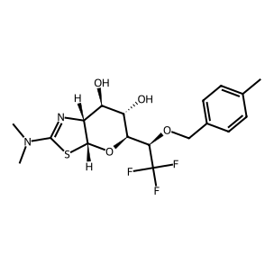 Cc1ccc(CO[C@H]([C@H]2O[C@@H]3SC(N(C)C)=N[C@@H]3[C@@H](O)[C@@H]2O)C(F)(F)F)cc1